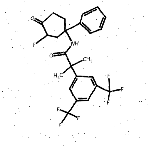 CC(C)(C(=O)NC1(c2ccccc2)CCC(=O)C(F)C1)c1cc(C(F)(F)F)cc(C(F)(F)F)c1